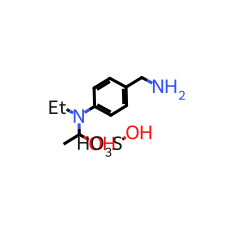 CCN(c1ccc(CN)cc1)C(C)O.O=S(=O)(O)O